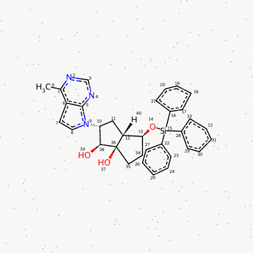 Cc1ncnc2c1ccn2[C@@H]1C[C@@H]2[C@@H](O[Si](c3ccccc3)(c3ccccc3)c3ccccc3)CC[C@]2(O)[C@H]1O